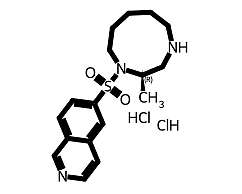 C[C@@H]1CNCCCCCN1S(=O)(=O)c1ccc2cnccc2c1.Cl.Cl